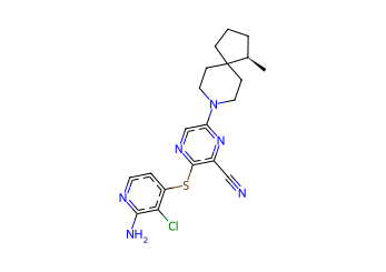 C[C@@H]1CCCC12CCN(c1cnc(Sc3ccnc(N)c3Cl)c(C#N)n1)CC2